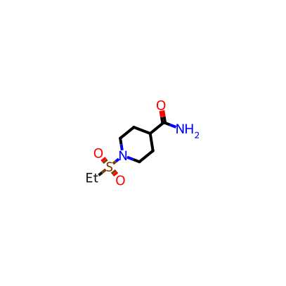 CCS(=O)(=O)N1CCC(C(N)=O)CC1